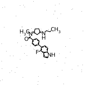 CCCN[C@H]1CC[C@@H](N(C)C(=O)c2ccc(-c3ccc4[nH]ccc4c3F)cc2)C1